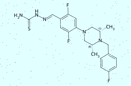 C[C@@H]1CN(c2cc(F)c(C=NNC(N)=S)cc2F)C[C@H](C)N1Cc1ccc(F)cc1